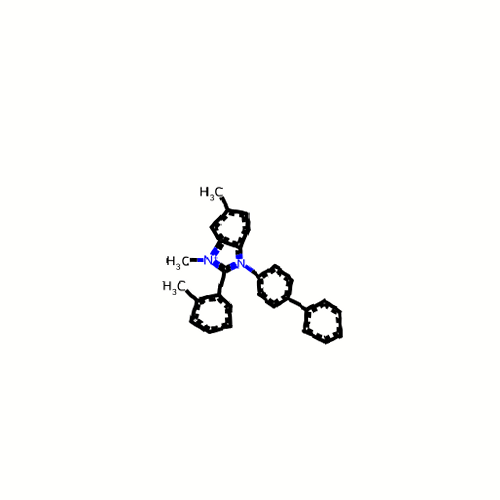 Cc1ccc2c(c1)[n+](C)c(-c1ccccc1C)n2-c1ccc(-c2ccccc2)cc1